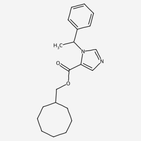 CC(c1ccccc1)n1cncc1C(=O)OCC1CCCCCCC1